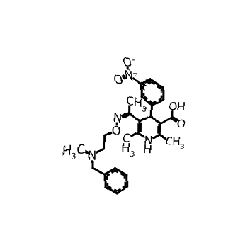 CC(=NOCCN(C)Cc1ccccc1)C1=C(C)NC(C)=C(C(=O)O)C1c1cccc([N+](=O)[O-])c1